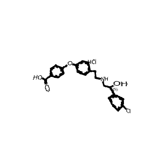 Cl.O=C(O)c1ccc(Oc2ccc(CCNC[C@@H](O)c3cccc(Cl)c3)cc2)cc1